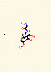 NCC(=O)NC[C@]1(CO)C(=O)N2C(OC(=O)O)=CS[C@@H]21